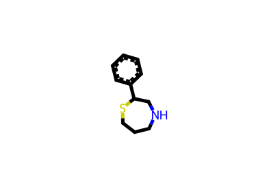 c1ccc(C2CNCCCS2)cc1